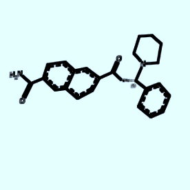 NC(=O)c1ccc2cc(C(=O)C[C@@H](c3ccccc3)N3CCCCC3)ccc2c1